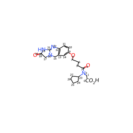 O=C(O)CN(C(=O)CCCOc1ccc2c(c1)CN1CC(=O)NC1=N2)C1CCCC1